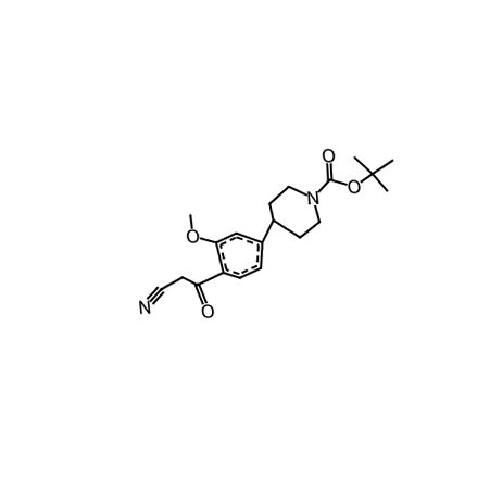 COc1cc(C2CCN(C(=O)OC(C)(C)C)CC2)ccc1C(=O)CC#N